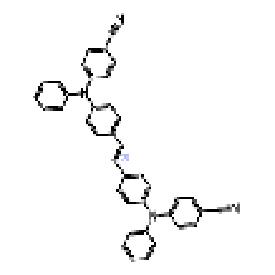 N#Cc1ccc(N(c2ccccc2)c2ccc(/C=C/c3ccc(N(c4ccccc4)c4ccc(C#N)cc4)cc3)cc2)cc1